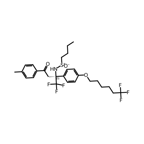 CCCC[S+]([O-])N[C@@](CC(=O)c1ccc(C)cc1)(c1ccc(OCCCCCC(F)(F)F)cc1)C(F)(F)F